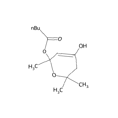 CCCCC(=O)OC1(C)C=C(O)CC(C)(C)O1